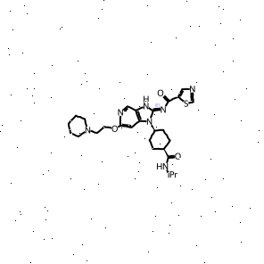 CC(C)NC(=O)[C@H]1CC[C@@H](n2/c(=N/C(=O)c3cncs3)[nH]c3cnc(OCCN4CCCCC4)cc32)CC1